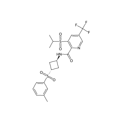 Cc1cccc(S(=O)(=O)[C@H]2C[C@H](NC(=O)c3ncc(C(F)(F)F)cc3S(=O)(=O)C(C)C)C2)c1